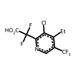 CCc1c(C(F)(F)F)cnc(C(F)(F)C(=O)O)c1Cl